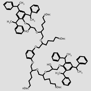 CCCCCCCCCCCCCCC(COc1cccc(OCC(CCCCCCCCCCCCCC)OCC(CCCCCCCCCCCCCC)OCC(O)COc2c(C(C)c3ccccc3)cc(C(C)c3ccccc3)cc2C(C)c2ccccc2)c1)OCC(CCCCCCCCCCCCCC)OCC(O)COc1c(C(C)c2ccccc2)cc(C(C)c2ccccc2)cc1C(C)c1ccccc1